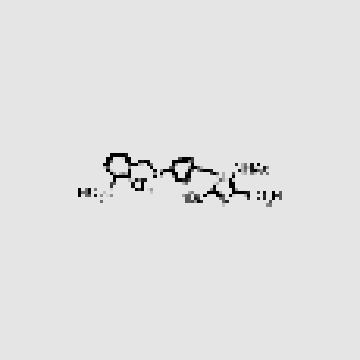 CCCCc1nc(C(=O)O)c(NC(C)=O)n1Cc1ccc(OCc2cccc(C(=O)O)c2C(F)(F)F)cc1